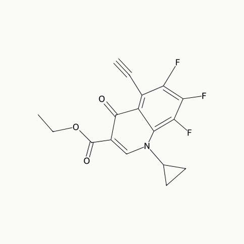 C#Cc1c(F)c(F)c(F)c2c1c(=O)c(C(=O)OCC)cn2C1CC1